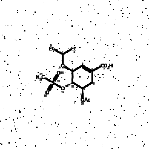 CCC(CC)O[C@H]1C=C(C(=O)O)C[C@@H](OC(C)=O)[C@@H]1OS(C)(=O)=O